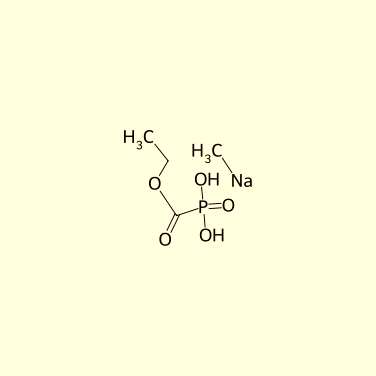 CCOC(=O)P(=O)(O)O.[CH3][Na]